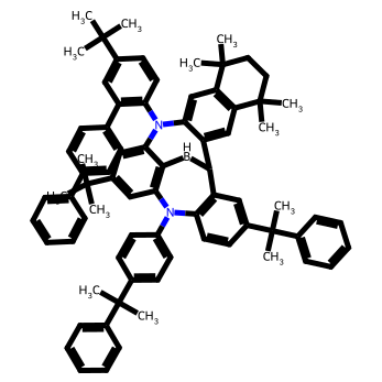 CC(C)(C)c1ccc(N2c3cc4c(cc3C3Bc5c(cc(C(C)(C)C)cc52)N(c2ccc(C(C)(C)c5ccccc5)cc2)c2ccc(C(C)(C)c5ccccc5)cc23)C(C)(C)CCC4(C)C)c(-c2ccc(-c3ccccc3)cc2)c1